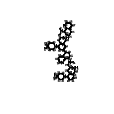 CN(C[C@H]1Cc2c(cc(C3CC[C@H](N(C)C[C@@H]4Cc5c(cccc5N5CCC(F)(F)CC5)CN4)c4ncccc43)cc2N2CCC(F)(F)CC2)CN1)[C@H]1CCCc2cccnc21